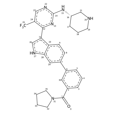 O=C(c1cccc(-c2ccc3c(-c4nc(N[C@H]5CCCNC5)ncc4C(F)(F)F)c[nH]c3c2)c1)N1CCCC1